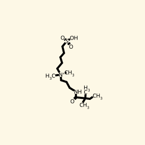 CCC(C)(C)C(=O)NCCC[N+](C)(C)CCCCCS(=O)(=O)O